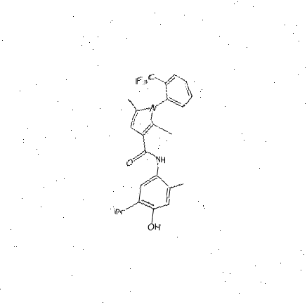 Cc1cc(O)c(C(C)C)cc1NC(=O)c1cc(C)n(-c2ccccc2C(F)(F)F)c1C